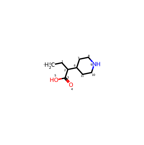 [CH2]CC(C(=O)O)C1CCNCC1